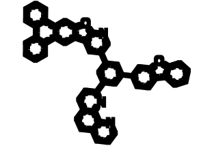 c1cnc2c(c1)ccc1ccc(-c3cc(-c4ccc5c(c4)oc4ccccc45)cc(-c4cnc5oc6cc7c8ccccc8c8ccccc8c7cc6c5c4)c3)nc12